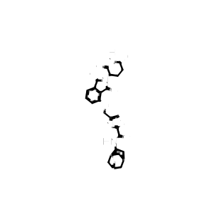 O=C1CCC(N2C(=O)c3cccc(OCc4csc(C(=O)NC56CC7CC(CC5C7)C6)n4)c3C2=O)C(=O)N1